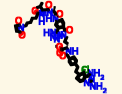 COC(=O)[C@H](CCCNC(=O)c1ccc(NC(=O)[C@H](C)NC(=O)[C@@H](NC(=O)CCCCCN2C(=O)C=CC2=O)C(C)C)cc1-c1nnn[nH]1)NC(=O)c1ccc(CCc2ccc3nc(N)nc(N)c3c2Cl)cc1